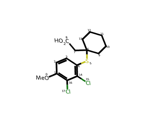 COc1ccc(SC2(CC(=O)O)CCCCC2)c(Cl)c1Cl